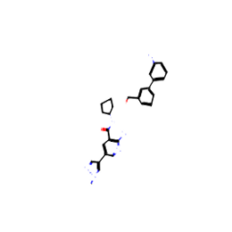 Cn1cc(-c2cnc(N)c(C(=O)N[C@H]3CCC[C@@H]3OCc3cccc(-c4cccc(N)c4)c3)c2)cn1